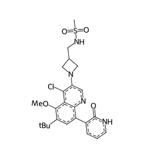 COc1c(C(C)(C)C)cc(-c2ccc[nH]c2=O)c2ncc(N3CC(CNS(C)(=O)=O)C3)c(Cl)c12